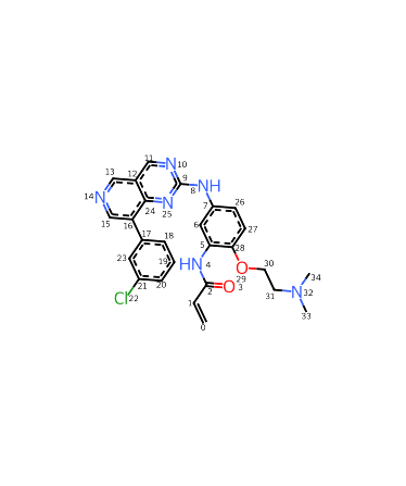 C=CC(=O)Nc1cc(Nc2ncc3cncc(-c4cccc(Cl)c4)c3n2)ccc1OCCN(C)C